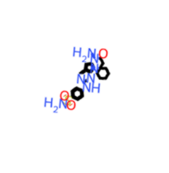 NN1C(=O)CC2(CCCCC2)n2c1cc1cnc(Nc3ccc(S(N)(=O)=O)cc3)nc12